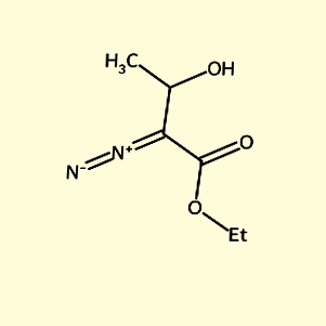 CCOC(=O)C(=[N+]=[N-])C(C)O